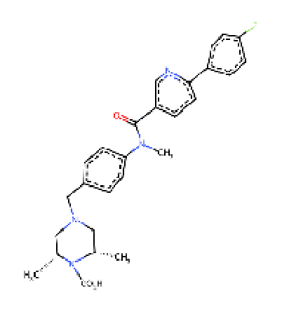 C[C@@H]1CN(Cc2ccc(N(C)C(=O)c3ccc(-c4ccc(F)cc4)nc3)cc2)C[C@H](C)N1C(=O)O